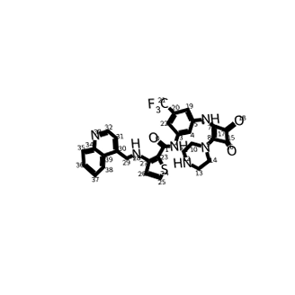 O=C(Nc1cc(Nc2c(N3CCNCC3)c(=O)c2=O)cc(C(F)(F)F)c1)c1sccc1NCc1ccnc2ccccc12